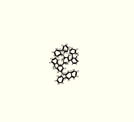 Cc1c(-c2cccc3sc4ccccc4c23)nc(-c2cc(-n3c4ccccc4c4cc5ccccc5cc43)cc3oc4ccccc4c23)nc1-n1c2ccccc2c2ccccc21